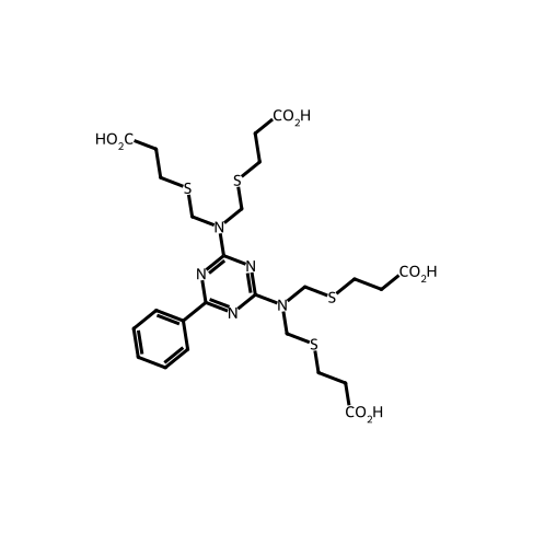 O=C(O)CCSCN(CSCCC(=O)O)c1nc(-c2ccccc2)nc(N(CSCCC(=O)O)CSCCC(=O)O)n1